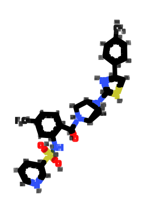 O=C(c1ccc(C(F)(F)F)cc1NS(=O)(=O)c1cccnc1)N1CC2CC1CN2c1nc(-c2ccc(C(F)(F)F)cc2)cs1